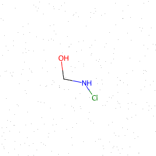 OCNCl